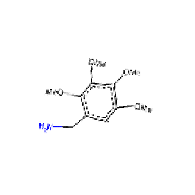 COc1[c]c(CN)c(OC)c(OC)c1OC